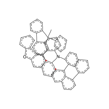 CC1(c2ccccc2)c2ccccc2-c2ccc(-c3ccccc3N(c3ccccc3-c3cccc4cccc(-c5ccccc5)c34)c3ccccc3-c3cccc4oc5ccccc5c34)cc21